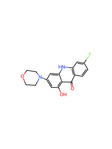 O=c1c2ccc(F)cc2[nH]c2cc(N3CCOCC3)cc(O)c12